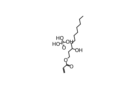 C=CC(=O)OCCC(O)CCCCCCCC.O=P(O)(O)O